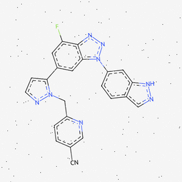 N#Cc1ccc(Cn2nccc2-c2cc(F)c3nnn(-c4ccc5cn[nH]c5c4)c3c2)nc1